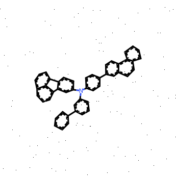 c1ccc(-c2cccc(N(c3ccc(-c4ccc5c(ccc6ccccc65)c4)cc3)c3ccc4c(c3)-c3cccc5cccc-4c35)c2)cc1